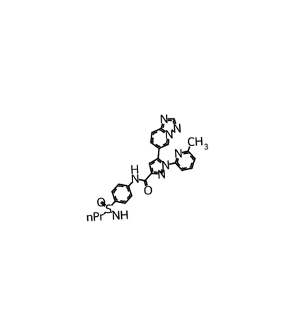 CCCS(=N)(=O)c1ccc(NC(=O)c2cc(-c3ccc4ncnn4c3)n(-c3cccc(C)n3)n2)cc1